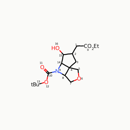 CCOC(=O)CC1CC23COCC2N(C(=O)OC(C)(C)C)C3C1O